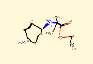 CCOC(=O)C(C)(C)N[C@H]1CC[C@H](N)CC1